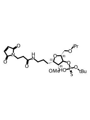 CO[C@H]1C(OP(O)(=S)OC(C)(C)C)[C@@H](COC(C)C)O[C@H]1CCCNC(=O)CCN1C(=O)C=CC1=O